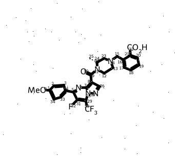 COc1ccc(-c2nc3c(C(=O)N4CCN(Cc5ccccc5C(=O)O)C[C@H]4C)cnn3c(C(F)(F)F)c2F)cc1